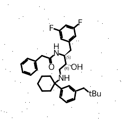 CC(C)(C)Cc1cccc(C2(NC[C@@H](O)[C@H](Cc3cc(F)cc(F)c3)NC(=O)Cc3ccccc3)CCCCC2)c1